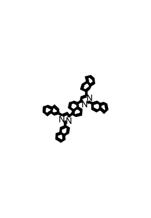 c1ccc2cc(-c3cc(-c4cccc5c(-c6cc(-c7ccc8ccccc8c7)nc(-c7ccc8ccccc8c7)n6)cccc45)nc(-c4ccc5ccccc5c4)n3)ccc2c1